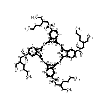 CCCCC(CC)CS(=O)(=O)c1cnc2c(c1)-c1nc-2nc2[nH]c(nc3[n+](C)c(nc4[nH]c(n1)c1ncc(S(=O)(=O)CC(CC)CCCC)cc41)-c1ncc(S(=O)(=O)CC(CC)CCCC)cc1-3)c1ncc(S(=O)(=O)CC(CC)CCCC)cc21